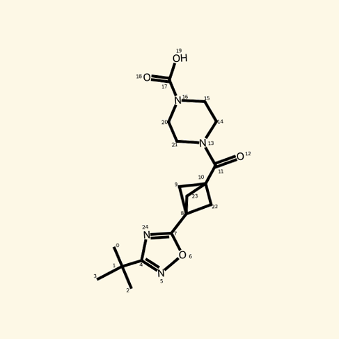 CC(C)(C)c1noc(C23CC(C(=O)N4CCN(C(=O)O)CC4)(C2)C3)n1